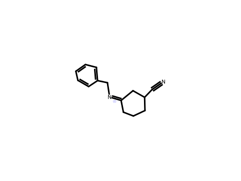 N#CC1CCC/C(=N/Cc2ccccc2)C1